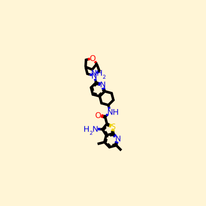 Cc1cc(C)c2c(N)c(C(=O)NC3CCc4nc(N5CC6COC(C5)C6N)ccc4C3)sc2n1